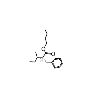 CCCCOC(=O)[C@H](Cc1ccccc1)C(C)CC